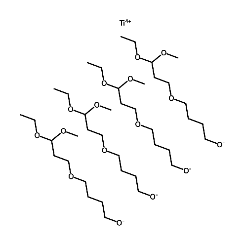 CCOC(CCOCCCC[O-])OC.CCOC(CCOCCCC[O-])OC.CCOC(CCOCCCC[O-])OC.CCOC(CCOCCCC[O-])OC.[Ti+4]